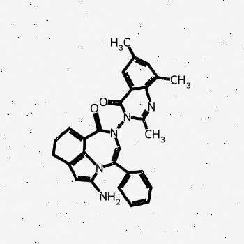 Cc1cc(C)c2nc(C)n(N3C=C(c4ccccc4)n4c(N)cc5c4C(=CCC5)C3=O)c(=O)c2c1